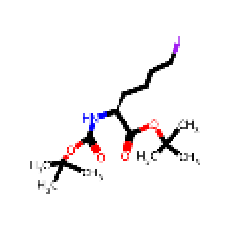 CC(C)(C)OC(=O)N[C@@H](CCCCI)C(=O)OC(C)(C)C